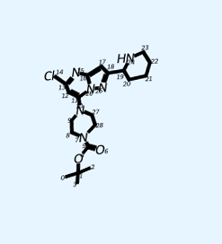 CC(C)(C)OC(=O)N1CCN(c2cc(Cl)nc3cc(C4CCCCN4)nn23)CC1